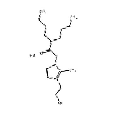 Br.CCCCN(CCCC)C(=O)CN1CSC(CCO)=C1C